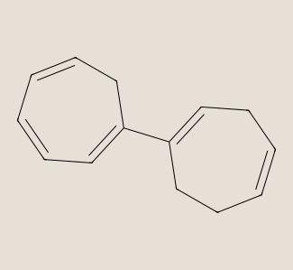 C1=CC=C(C2=CCC=CCC2)CC=C1